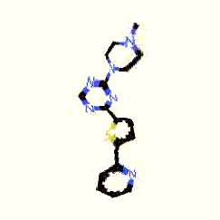 CN1CCN(c2ncnc(-c3ccc(-c4ccccn4)s3)n2)CC1